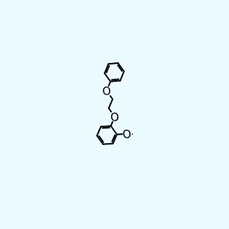 [O]c1ccccc1OCCOc1ccccc1